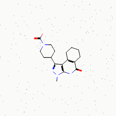 Cn1nc(C2CCN(C(=O)O)CC2)c2c3c(c(=O)[nH]c21)CCCC3